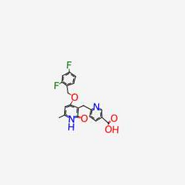 Cc1cc(OCc2ccc(F)cc2F)c(Cc2ccc(C(=O)O)cn2)c(=O)[nH]1